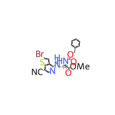 COC(=O)[C@H](CNc1ncc(C#N)c2sc(Br)cc12)NC(=O)OCc1ccccc1